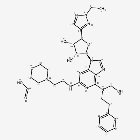 CCn1nnc([C@H]2O[C@@H](n3cnc4c(N(CO)CCc5ccccc5)nc(NCCN5CCOCC5)nc43)[C@H](O)[C@@H]2O)n1.O=CO